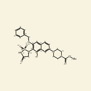 CC(C)(C)OC(=O)N1CCN(c2ccc3cc(OCc4ccccc4)c(N4CC(=O)NS4(=O)=O)c(F)c3c2)CC1